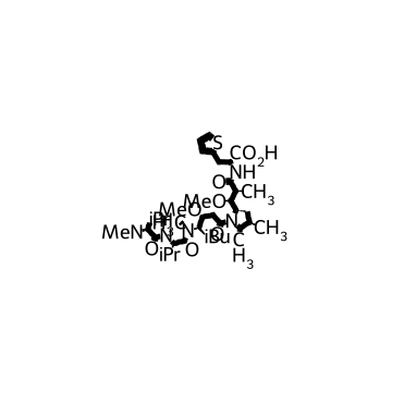 CC[C@H](C)[C@@H]([C@@H](CC(=O)N1C(C)[C@@H](C)C[C@H]1[C@H](OC)[C@@H](C)C(=O)N[C@@H](Cc1cccs1)C(=O)O)OC)N(C)C(=O)[C@@H](NC(=O)[C@@H](NC)C(C)C)C(C)C